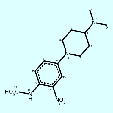 CN(C)C1CCN(c2ccc(NC(=O)O)c([N+](=O)[O-])c2)CC1